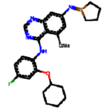 COc1cc(N=S2CCCC2)cc2ncnc(Nc3ccc(F)cc3OC3CCCCC3)c12